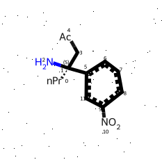 CCC[C@](N)(CC(C)=O)c1cccc([N+](=O)[O-])c1